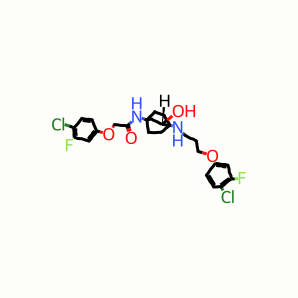 O=C(COc1ccc(Cl)c(F)c1)NC12CCC(NCCCOc3ccc(Cl)c(F)c3)(CC1)[C@@H](O)C2